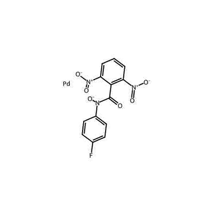 O=C(c1c([N+](=O)[O-])cccc1[N+](=O)[O-])N([O-])c1ccc(F)cc1.[Pd]